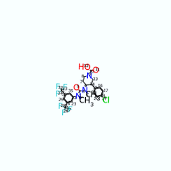 CN(C(=O)N(C)C1CCN(C(=O)O)CC1c1ccc(Cl)cc1)c1cc(C(F)(F)F)cc(C(F)(F)F)c1